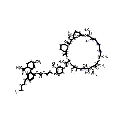 C=C(C)C1CCC(C)=CC1c1c(OC(=O)OCCO[C@@H]2CC[C@@H](C[C@@H](C)[C@@H]3CC(=O)[C@H](C)/C=C(\C)[C@@H](O)[C@@H](OC)C(=O)[C@H](C)C[C@H](C)/C=C/C=C/C=C(\C)[C@@H](OC)C[C@@H]4CC[C@@H](C)[C@@](O)(O4)C(=O)C(=O)N4CCCC[C@H]4C(=O)O3)C[C@H]2OC)ccc(CCCCC)c1O